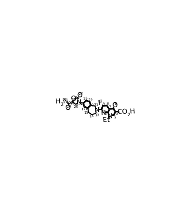 CCn1cc(C(=O)O)c(=O)c2cc(F)c(N3CCCc4cc(N5C[C@H](C(N)=O)OC5=O)ccc4C3)nc21